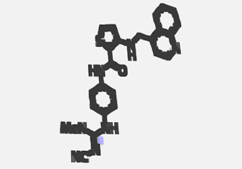 CN/C(=N\C#N)Nc1ccc(NC(=O)c2sccc2NCc2ccnc3ccccc23)cc1